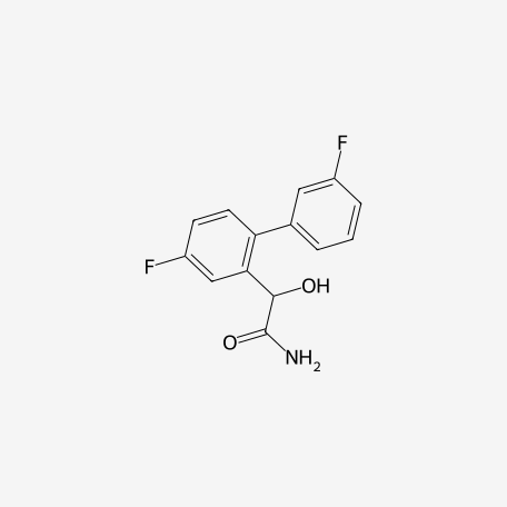 NC(=O)C(O)c1cc(F)ccc1-c1cccc(F)c1